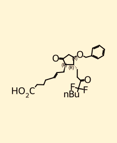 CCCCC(F)(F)C(=O)CC[C@H]1[C@H](OCc2ccccc2)CC(=O)[C@@H]1CC=CCCCC(=O)O